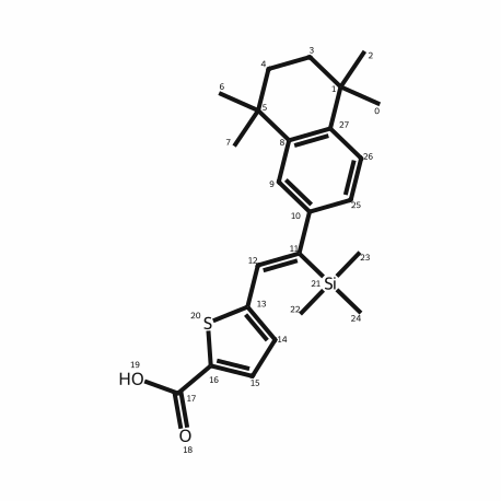 CC1(C)CCC(C)(C)c2cc(C(=Cc3ccc(C(=O)O)s3)[Si](C)(C)C)ccc21